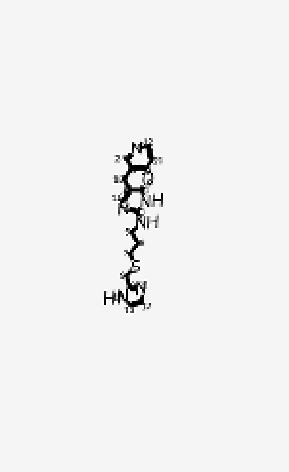 O=c1[nH]c(NCCCSCc2ncc[nH]2)ncc1Cc1cccnc1